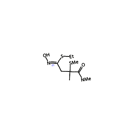 CCS/C(CC(C)(SC)C(=O)NC)=N\O